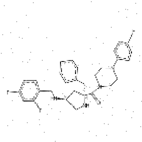 O=C(N1CCN(c2ccc(F)cc2)CC1)[C@]1(Cc2ccccc2)C[C@H](NCc2ccc(F)cc2F)CN1